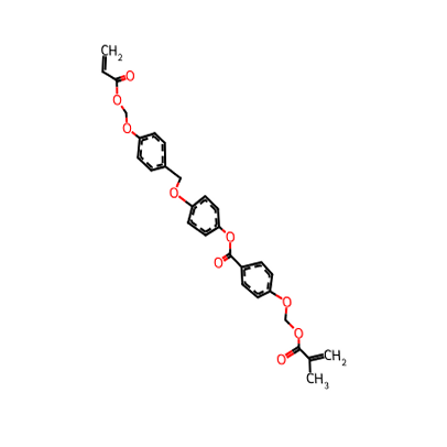 C=CC(=O)OCOc1ccc(COc2ccc(OC(=O)c3ccc(OCOC(=O)C(=C)C)cc3)cc2)cc1